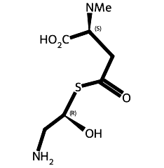 CN[C@@H](CC(=O)S[C@@H](O)CN)C(=O)O